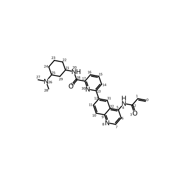 C=CC(=O)Nc1ccnc2ccc(-c3cccc(C(=O)NC4CCCC(N(C)C)C4)n3)cc12